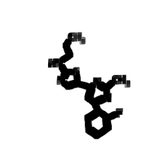 CCCNc1ncc(-c2cc(-c3ccccc3F)nc(C)n2)s1